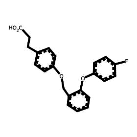 O=C(O)CCc1ccc(OCc2ccccc2Oc2ccc(F)cc2)cc1